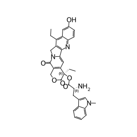 CCc1c2c(nc3ccc(O)cc13)-c1cc3c(c(=O)n1C2)COC(=O)[C@]3(CC)OC(=O)[C@H](N)Cc1cn(C)c2ccccc12